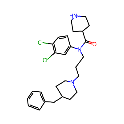 O=C(C1CCNCC1)N(CCCN1CCC(Cc2ccccc2)CC1)c1ccc(Cl)c(Cl)c1